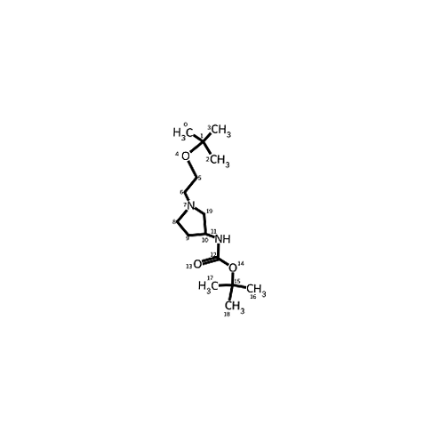 CC(C)(C)OCCN1CCC(NC(=O)OC(C)(C)C)C1